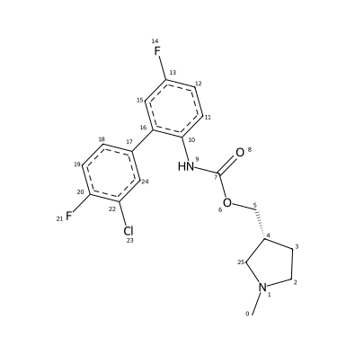 CN1CC[C@@H](COC(=O)Nc2ccc(F)cc2-c2ccc(F)c(Cl)c2)C1